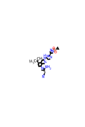 CC(C)c1ccc(N2C[C@H](CC#N)[C@H]2N)c2cnc(Nc3ccnc(-c4cnn(S(=O)(=O)C5CC5)c4)n3)cc12